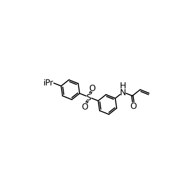 C=CC(=O)Nc1cccc(S(=O)(=O)c2ccc(C(C)C)cc2)c1